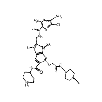 CCn1c(CNC(=O)c2nc(Cl)c(N)nc2N)[n+](CC)c2cc(C(=O)NC3CCNCC3)c(OCC(=O)NC3CCN(C)CC3)cc21